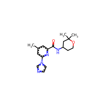 Cc1cc(C(=O)NC2CCOC(C)(C)C2)nc(-n2ccnc2)c1